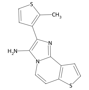 Cc1sccc1-c1nc2c3ccsc3ccn2c1N